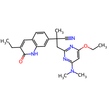 CCOc1cc(N(C)C)nc(CC(C)(C#N)c2ccc3cc(CC)c(=O)[nH]c3c2)n1